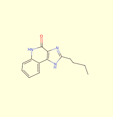 CCCCc1nc2c(=O)[nH]c3ccccc3c2[nH]1